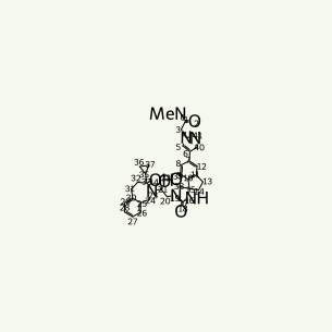 CNC(=O)Cn1cc(-c2ccc3c(c2)CCC32NC(=O)N(CC(=O)N3Cc4ccccc4CC[C@]3(O)C3CC3)C2=O)cn1